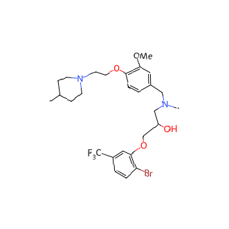 COc1cc(CN(C)CC(O)COc2cc(C(F)(F)F)ccc2Br)ccc1OCCN1CCC(C)CC1